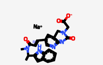 CC(c1cc2ccccc2[nH]1)N(C)C(=O)/C=C/c1cnc2c(c1)CN(CC(=O)[O-])C(=O)N2.[Na+]